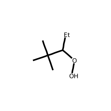 [CH2]CC(OO)C(C)(C)C